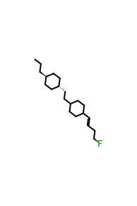 CCC[C@H]1CC[C@H](CCC2CCC(/C=C/CCF)CC2)CC1